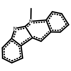 Cn1c2nc3ccccc3c-2cc2ccccc21